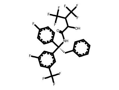 O=C(N[C@](Cc1ccccc1)(c1ccc(F)cc1)c1cc(F)cc(C(F)(F)F)c1)C(O)C(C(F)(F)F)C(F)(F)F